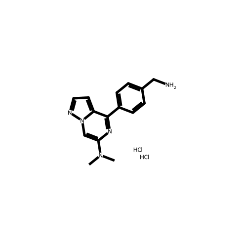 CN(C)c1cn2nccc2c(-c2ccc(CN)cc2)n1.Cl.Cl